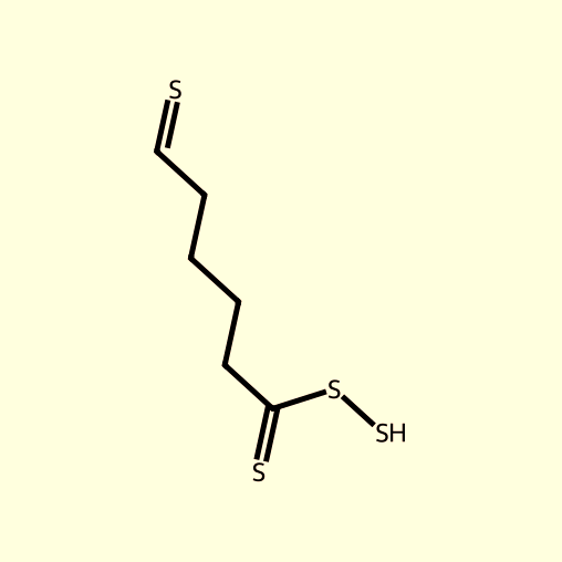 S=CCCCCC(=S)SS